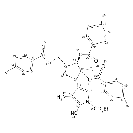 CCOC(=O)n1cc([C@@H]2OC(COC(=O)c3ccc(C)cc3)[C@@H](OC(=O)c3ccc(C)cc3)[C@@]2(C)OC(=O)c2ccc(C)cc2)c(N)c1C#N